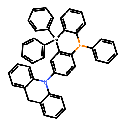 c1ccc(P2c3ccccc3[Si](c3ccccc3)(c3ccccc3)c3cc(N4c5ccccc5Cc5ccccc54)ccc32)cc1